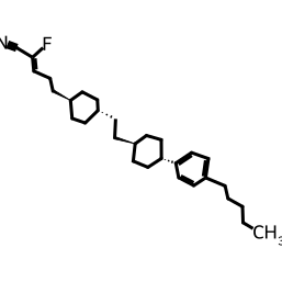 CCCCCc1ccc([C@H]2CC[C@H](CC[C@H]3CC[C@H](CCC=C(F)C#N)CC3)CC2)cc1